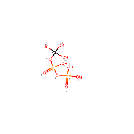 O=P(O)(O)OP(=O)(O)O[Si](O)(O)O